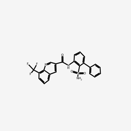 NS(=O)(=O)c1c(NC(=O)c2cnc3c(C(F)(F)F)cccc3c2)cccc1-c1ccccc1